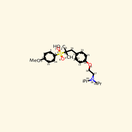 COc1ccc(S(=O)(=O)C(C)(Cc2ccc(OCCN(C(C)C)C(C)C)cc2)C(=O)O)cc1